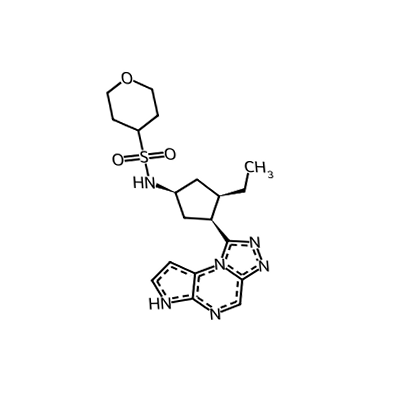 CC[C@@H]1C[C@H](NS(=O)(=O)C2CCOCC2)C[C@@H]1c1nnc2cnc3[nH]ccc3n12